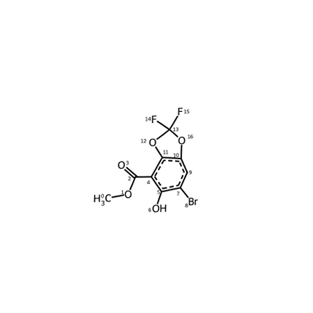 COC(=O)c1c(O)c(Br)cc2c1OC(F)(F)O2